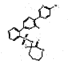 Nc1cnc(-c2ccc(-c3ccccc3S(=O)(=O)NC3(S)CCCCNC3=O)cc2F)cn1